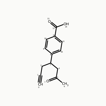 C#CCC(CC(C)=O)c1ccc(C(=O)O)cc1